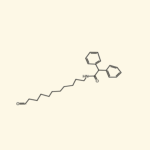 O=[C]CCCCCCCCCCNC(=O)C(c1ccccc1)c1ccccc1